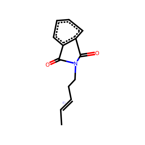 C/C=C/CCN1C(=O)c2ccccc2C1=O